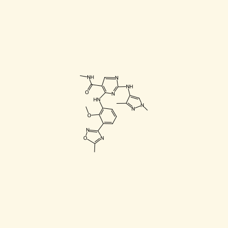 CNC(=O)c1cnc(Nc2cn(C)nc2C)nc1Nc1cccc(-c2noc(C)n2)c1OC